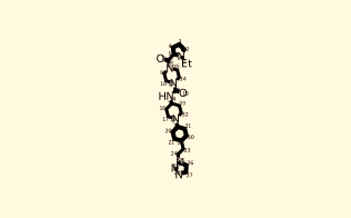 CCn1cccc1C(=O)N1CCN(C(=O)NC2CCN(c3ccc(CCn4ccnn4)cc3)CC2)CC1